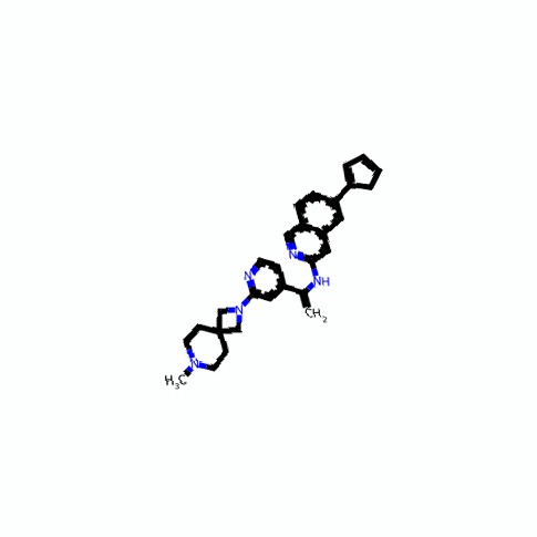 C=C(Nc1cc2cc(C3=CC=CC3)ccc2cn1)c1ccnc(N2CC3(CCN(C)CC3)C2)c1